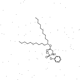 CCCCCCCCCCC(CCCCCCCCCC)OC(=O)[C@H](C)NP(=O)(Cl)Oc1ccccc1